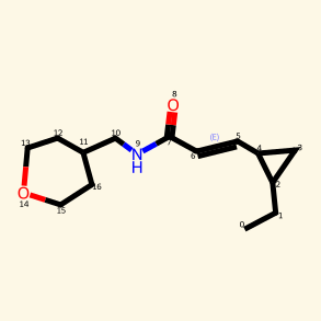 CCC1CC1/C=C/C(=O)NCC1CCOCC1